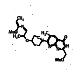 C=C(/C=N\C(=C/C)OC)OC1CCN(c2nc3nc(COC)[nH]c(=O)c3cc2C)CC1